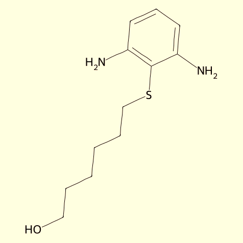 Nc1cccc(N)c1SCCCCCCO